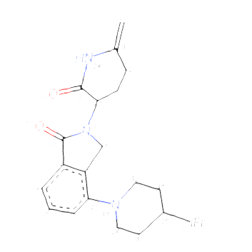 C=C1CCC(N2Cc3c(cccc3N3CCC(C(C)C)CC3)C2=O)C(=O)N1